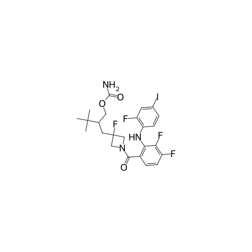 CC(C)(C)C(COC(N)=O)CC1(F)CN(C(=O)c2ccc(F)c(F)c2Nc2ccc(I)cc2F)C1